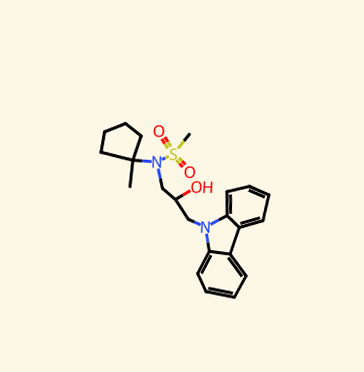 CC1(N(CC(O)Cn2c3ccccc3c3ccccc32)S(C)(=O)=O)CCCC1